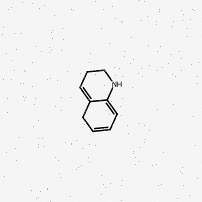 C1=CCC2=CCCNC2=C1